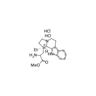 CC[C@]1(CC(N)C(=O)OC)CCN2CCc3c([nH]c4ccccc34)[C@H]21.Cl.Cl